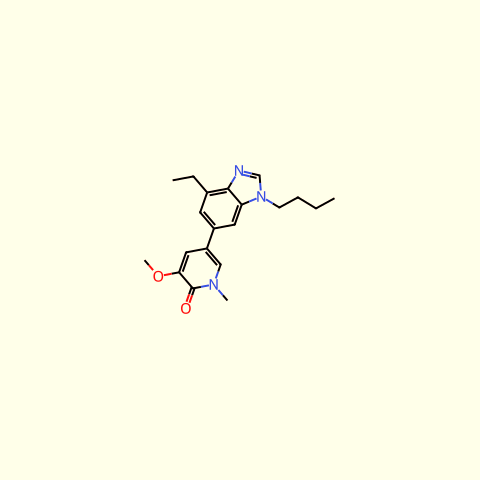 CCCCn1cnc2c(CC)cc(-c3cc(OC)c(=O)n(C)c3)cc21